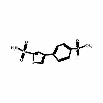 CS(=O)(=O)c1ccc(-c2csc(S(N)(=O)=O)c2)cc1